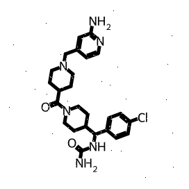 NC(=O)NC(c1ccc(Cl)cc1)C1CCN(C(=O)C2CCN(Cc3ccnc(N)c3)CC2)CC1